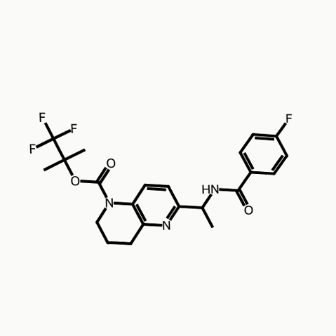 CC(NC(=O)c1ccc(F)cc1)c1ccc2c(n1)CCCN2C(=O)OC(C)(C)C(F)(F)F